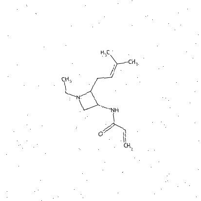 C=CC(=O)NC1CN(CC)C1CC=C(C)C